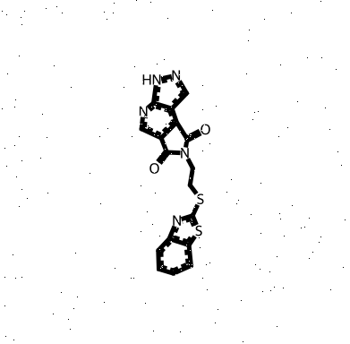 O=C1c2cnc3[nH]ncc3c2C(=O)N1CCSc1nc2ccccc2s1